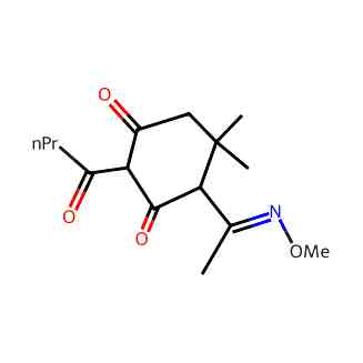 CCCC(=O)C1C(=O)CC(C)(C)C(C(C)=NOC)C1=O